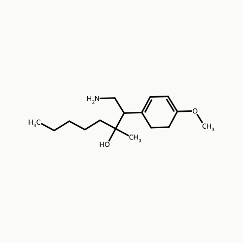 CCCCCC(C)(O)C(CN)C1=CC=C(OC)CC1